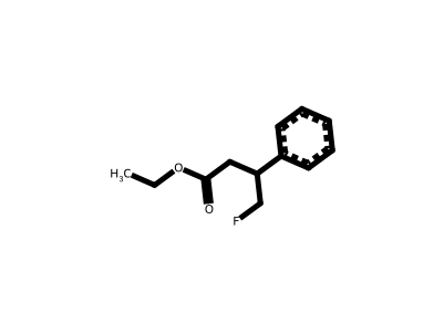 CCOC(=O)CC(CF)c1ccccc1